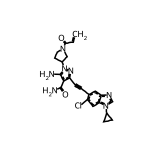 C=CC(=O)N1CCC(n2nc(C#Cc3cc4ncn(C5CC5)c4cc3Cl)c(C(N)=O)c2N)C1